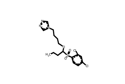 CCCC(OCCCCn1cnnc1)S(=O)(=O)c1ccc(Cl)cc1Cl